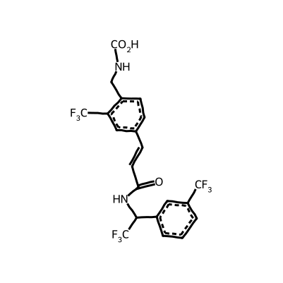 O=C(O)NCc1ccc(C=CC(=O)NC(c2cccc(C(F)(F)F)c2)C(F)(F)F)cc1C(F)(F)F